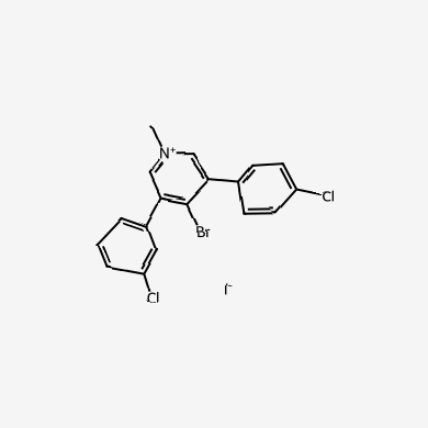 C[n+]1cc(-c2ccc(Cl)cc2)c(Br)c(-c2cccc(Cl)c2)c1.[I-]